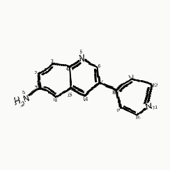 Nc1ccc2ncc(-c3ccncc3)cc2c1